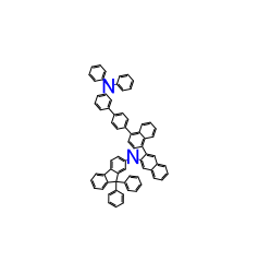 c1ccc(N(c2ccccc2)c2cccc(-c3ccc(-c4cc5c(c6ccccc46)c4cc6ccccc6cc4n5-c4ccc5c(c4)C(c4ccccc4)(c4ccccc4)c4ccccc4-5)cc3)c2)cc1